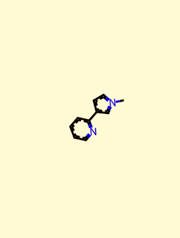 Cn1ccc(-c2ccccn2)c1